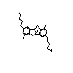 Cc1cc(CCCCI)cc2c1OC1OC2Oc2c(C)cc(CCCCI)cc21